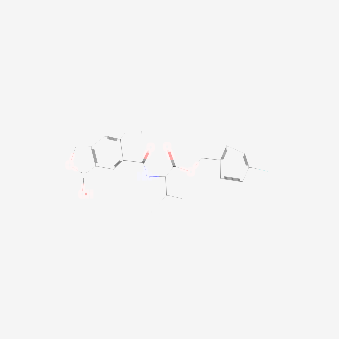 Cc1cc2c(cc1C(=O)NC(C(=O)OCc1ccc(F)cc1)C(C)C)B(O)OC2